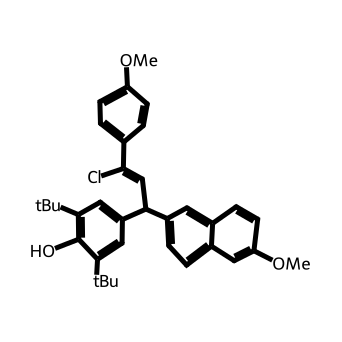 COc1ccc(C(Cl)=CC(c2cc(C(C)(C)C)c(O)c(C(C)(C)C)c2)c2ccc3cc(OC)ccc3c2)cc1